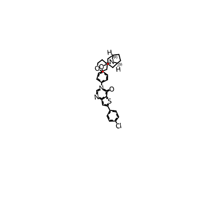 O=c1c2sc(-c3ccc(Cl)cc3)cc2ncn1-c1ccc(O[C@H]2C[C@H]3CC[C@@H](C2)N3C2CCOCC2)cc1